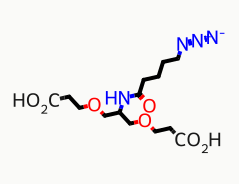 [N-]=[N+]=NCCCCC(=O)NC(COCCC(=O)O)COCCC(=O)O